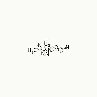 Cc1cncc(-c2ncnc(N3CCC(Oc4cccc(C#N)c4)CC3)c2C)c1